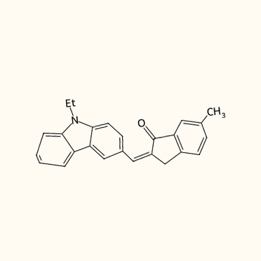 CCn1c2ccccc2c2cc(/C=C3/Cc4ccc(C)cc4C3=O)ccc21